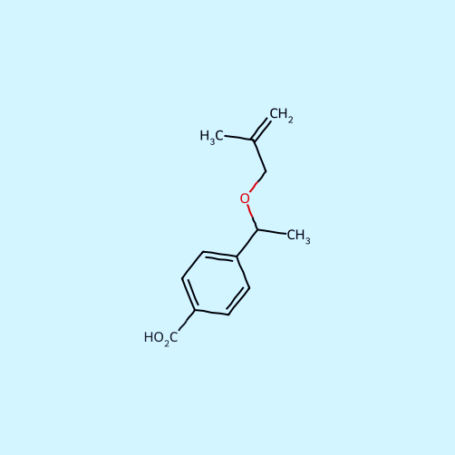 C=C(C)COC(C)c1ccc(C(=O)O)cc1